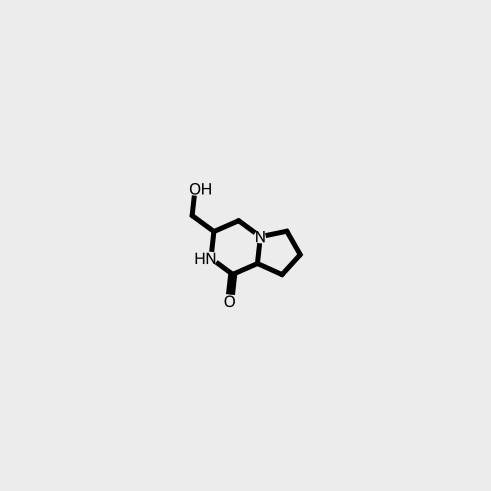 O=C1NC(CO)CN2CCCC12